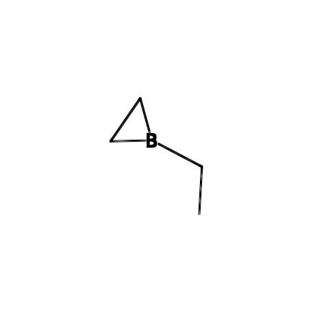 CCB1CC1